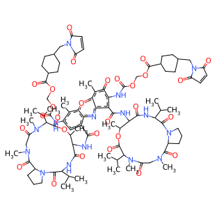 Cc1c2oc3c(C)c(NC(=O)OCOC(=O)C4CCC(CN5C(=O)C=CC5=O)CC4)cc(C(=O)NC4C(=O)NC(C(C)C)C(=O)N5CCCC5C(=O)N(C)CC(=O)N(C)C(C(C)C)C(=O)OC4C)c3nc-2c(C(=O)NC2C(=O)NC(C(C)C)C(=O)N3CCCC3C(=O)N(C)CC(=O)N(C)C(C(C)C)C(=O)OC2C)c(NC(=O)OCOC(=O)C2CCC(CN3C(=O)C=CC3=O)CC2)c1=O